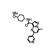 Cc1cc(-c2cccnc2)nc2c(C(=O)N[C@H]3CC[C@H](OC(C)(C)C)CC3)cnn12